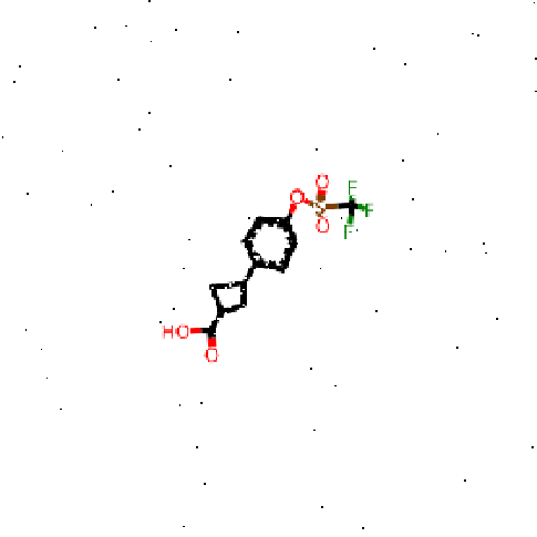 O=C(O)C1CC(c2ccc(OS(=O)(=O)C(F)(F)F)cc2)C1